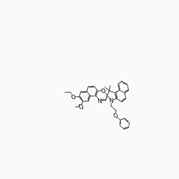 CCOc1cc2ccc3c(c2cc1OC)N=CC1(O3)N(CCOc2ccccc2)c2ccc3ccccc3c2C1(C)C